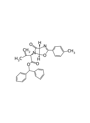 C=C(C)[C@H](C(=O)OC(c1ccccc1)c1ccccc1)N1C(=O)[C@@H]2N=C(c3ccc(C)cc3)O[C@@H]21